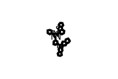 c1ccc(-c2nc(-c3cccc(-n4c5cc6ccccc6cc5c5cc6ccccc6cc54)c3)nc(-c3cccc4c3sc3ccccc34)n2)cc1